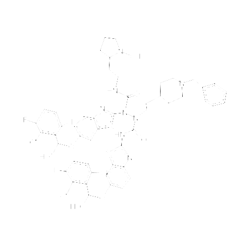 CC(Oc1ccc2nc(NC(=O)N(CCC3CCN(Cc4ccccc4)CC3)N(C(=O)NCCC3CCCN3C)c3nc4ccc(OC(C)c5c(Cl)ccc(F)c5Cl)cc4s3)sc2c1)c1c(Cl)ccc(F)c1Cl